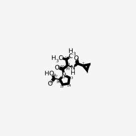 CC(C)[C@@H](NC(=O)C1CC1)C(=O)N1CCC[C@H]1C(=O)O